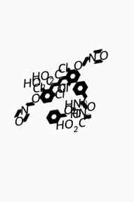 C[C@H](NC(=O)[C@H](Cc1ccccc1)NC(=O)OCc1ccccc1)C(=O)O.O=C(O)C(C(=O)C(C(=O)O)c1c(Cl)ccc(OCCN2CCOCC2)c1Cl)c1c(Cl)ccc(OCCN2CCOCC2)c1Cl